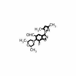 Cc1cc(C)n(-c2noc3c(F)c(N4C[C@@H](C)O[C@@H](C)C4)c(C=O)cc23)n1